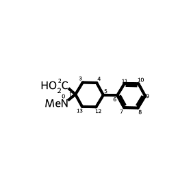 CNC1(C(=O)O)CCC(c2ccccc2)CC1